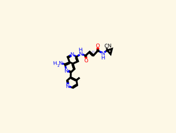 Cc1ccncc1-c1cc2cc(NC(=O)/C=C/C(=O)NC3(C#N)CC3)ncc2c(N)n1